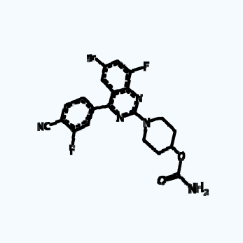 N#Cc1ccc(-c2nc(N3CCC(OC(N)=O)CC3)nc3c(F)cc(Br)cc23)cc1F